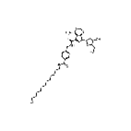 Nc1ncnc2c1c(C(=O)NCc1ccc(C(=O)NCCOCCOCCCCCCCl)cc1)cn2[C@H]1CC(O)[C@@H](CO)O1